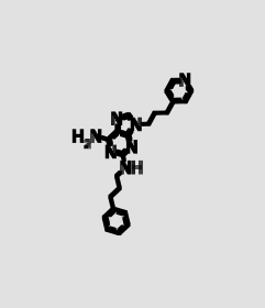 Nc1nc(NCCCc2ccccc2)nc2c1ncn2CCCc1ccncc1